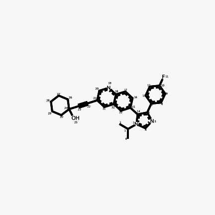 CC(C)n1cnc(-c2ccc(F)cc2)c1-c1ccc2ncc(C#CC3(O)CCCCC3)cc2c1